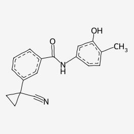 Cc1ccc(NC(=O)c2cccc(C3(C#N)CC3)c2)cc1O